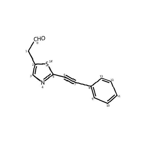 O=CCc1cnc(C#Cc2ccccc2)s1